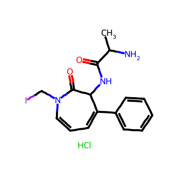 CC(N)C(=O)NC1C(=O)N(CI)C=CC=C1c1ccccc1.Cl